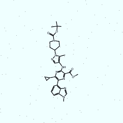 COC(=O)c1nc(-c2cccc3c2ncn3C)c(C2CC2)nc1Nc1cnn(C2CCN(C(=O)OC(C)(C)C)CC2)c1C